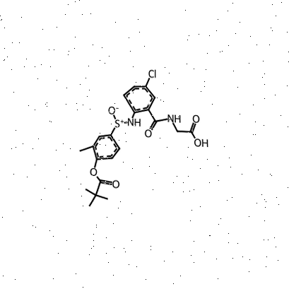 Cc1cc([S+]([O-])Nc2ccc(Cl)cc2C(=O)NCC(=O)O)ccc1OC(=O)C(C)(C)C